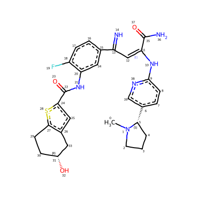 CN1CCC[C@H]1c1ccc(N/C(=C/C(=N)c2ccc(F)c(NC(=O)c3cc4c(s3)CC[C@@H](O)C4)c2)C(N)=O)nc1